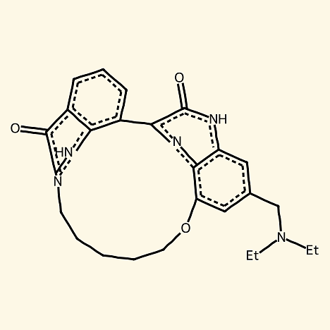 CCN(CC)Cc1cc2c3nc(c(=O)[nH]c3c1)-c1cccc3c(=O)n([nH]c13)CCCCCO2